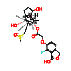 C[C@@H]1CC[C@@]23CCC(O)[C@H]2[C@]1(C)[C@H](OC(=O)COc1ccc2c(c1F)B(O)OC2)C[C@@](C)(C[S+](C)[O-])[C@@H](O)[C@@H]3C